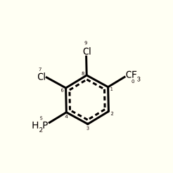 FC(F)(F)c1ccc(P)c(Cl)c1Cl